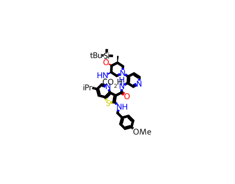 COc1ccc(CNc2sc3cc(C(C)C)cnc3c2C(=O)Nc2cnccc2N2C[C@H](C)[C@H](O[Si](C)(C)C(C)(C)C)[C@H](NC(=O)O)C2)cc1